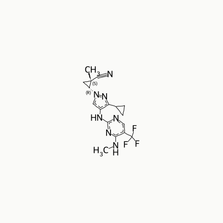 CNc1nc(Nc2cn([C@@H]3C[C@]3(C)C#N)nc2C2CC2)ncc1C(F)(F)F